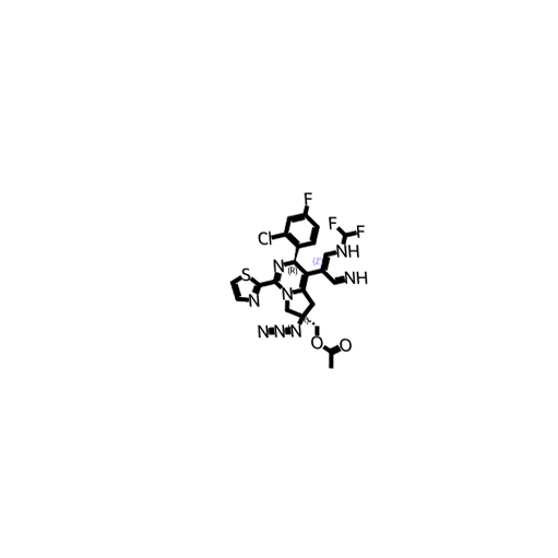 CC(=O)OC[C@@]1(N=[N+]=[N-])CC2=C(/C(C=N)=C/NC(F)F)[C@H](c3ccc(F)cc3Cl)N=C(c3nccs3)N2C1